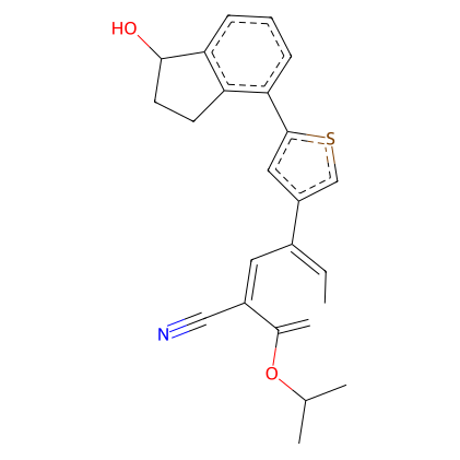 C=C(OC(C)C)/C(C#N)=C\C(=C/C)c1csc(-c2cccc3c2CCC3O)c1